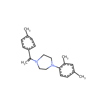 C=C(c1ccc(C)cc1)N1CCN(c2ccc(C)cc2C)CC1